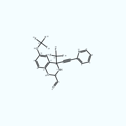 O=CC1NC(C#Cc2ccccn2)(C(F)(F)F)c2cc(OC(F)(F)F)ccc2O1